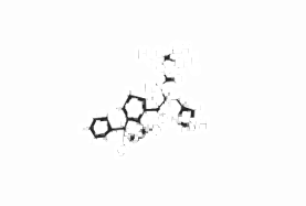 CC(C)(C)OC(=O)N[C@@H](Cc1c[nH]cn1)C(=O)c1cccc([C](c2ccccc2)[N+](=O)[O-])c1[N+](=O)[O-]